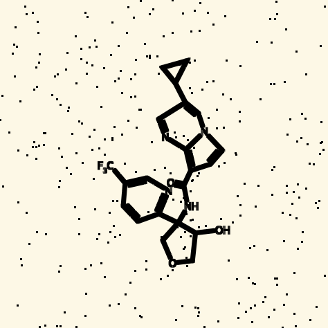 O=C(NC1(c2ccc(C(F)(F)F)cn2)COCC1O)c1ccn2cc(C3CC3)cnc12